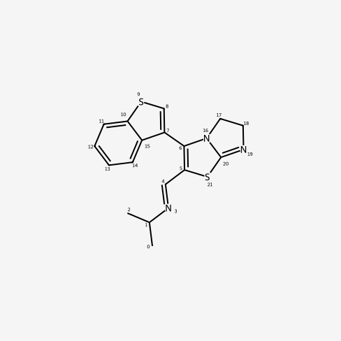 CC(C)N=CC1=C(c2csc3ccccc23)N2CCN=C2S1